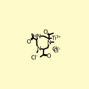 CC(=O)C1CN(C)C(C(C)=O)CN(C)[C]([Ti+3])(C(C)=O)CN1.[Cl-].[Cl-].[Cl-]